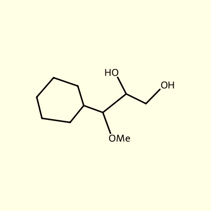 COC(C(O)CO)C1CCCCC1